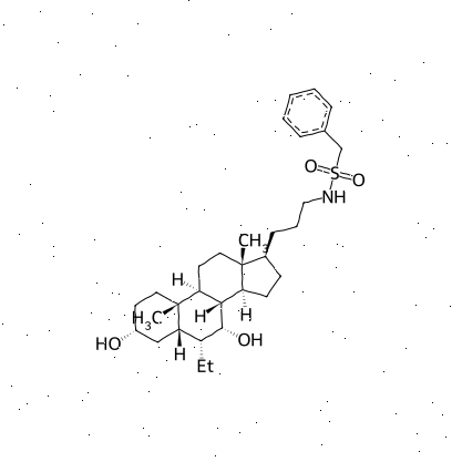 CC[C@H]1[C@@H](O)[C@@H]2[C@H](CC[C@]3(C)[C@@H](CCCNS(=O)(=O)Cc4ccccc4)CC[C@@H]23)[C@@]2(C)CC[C@@H](O)C[C@@H]12